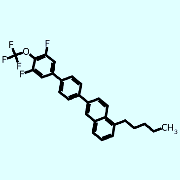 CCCCCc1cccc2cc(-c3ccc(-c4cc(F)c(OC(F)(F)F)c(F)c4)cc3)ccc12